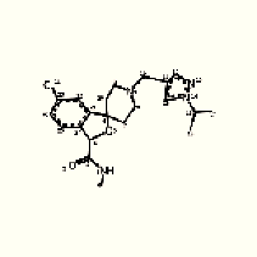 CNC(=O)C1OC2(CCN(Cc3cnn(C(C)C)c3)CC2)c2cc(Cl)ccc21